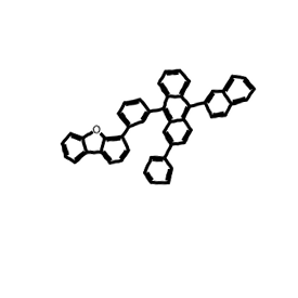 c1ccc(-c2ccc3c(-c4ccc5ccccc5c4)c4ccccc4c(-c4cccc(-c5cccc6c5oc5ccccc56)c4)c3c2)cc1